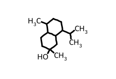 CC(C)C1CCC(C)C2CCC(C)(O)CC12